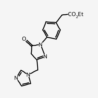 CCOC(=O)Cc1ccc(N2N=C(Cn3ccnc3)CC2=O)cc1